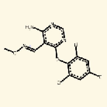 CO/N=C/c1c(N)ncnc1Oc1c(Cl)cc(Cl)cc1Cl